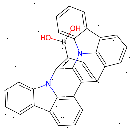 OB(O)c1cc2c3cccc4c5ccccc5n(c34)c3c2c2cccc4c5ccccc5n(c13)c42